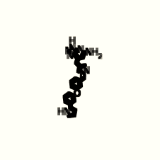 Nc1cc(Cc2cnn(Cc3cccc(Oc4cccc(C5CCCN5)c4)c3)c2)c2nn[nH]c2n1